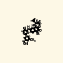 CCn1c(=O)c2c(c3cc(Nc4nc(N5C[C@H](C)C[C@H](CO)C5)ncc4Cl)ccc31)N[C@@H](C1CC1)C(F)(F)CO2